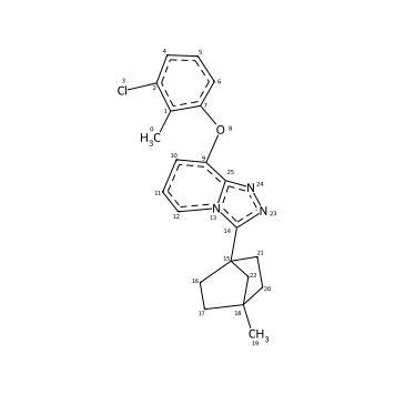 Cc1c(Cl)cccc1Oc1cccn2c(C34CCC(C)(CC3)C4)nnc12